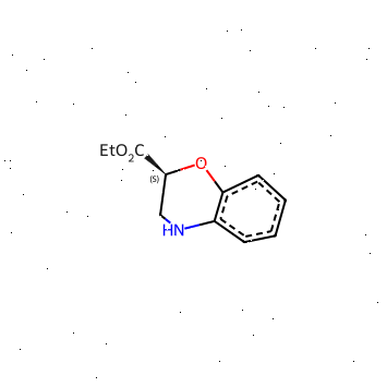 CCOC(=O)[C@@H]1CNc2ccccc2O1